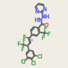 O=C(NNc1ncccn1)c1ccc(/C(F)=C/C(c2cc(Cl)c(Cl)c(Cl)c2)C(F)(F)F)cc1C(F)(F)F